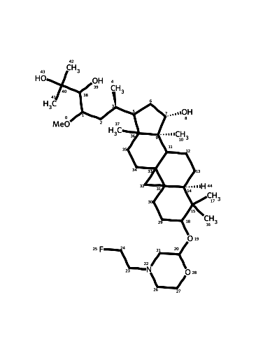 COC(C[C@@H](C)C1C[C@H](O)[C@@]2(C)C3CC[C@H]4C(C)(C)C(OC5CN(CCF)CCO5)CCC45CC35CCC12C)C(O)C(C)(C)O